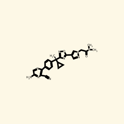 CN(C)C(=O)Cn1cc(-c2nc([C@@](C)(c3ccc(-c4ncc(N)nc4C#N)cc3)C3CC3)no2)cn1